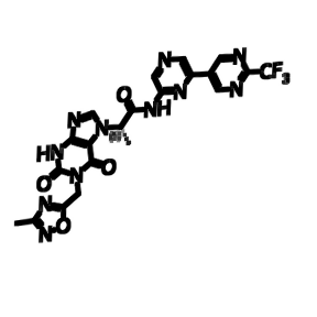 Cc1noc(Cn2c(=O)[nH]c3ncn([C@@H](C)C(=O)Nc4cncc(-c5cnc(C(F)(F)F)nc5)n4)c3c2=O)n1